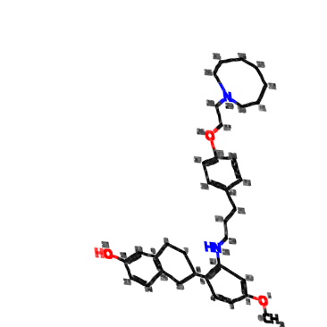 COc1ccc(C2CCc3cc(O)ccc3C2)c(NCCCc2ccc(OCCN3CCCCCCC3)cc2)c1